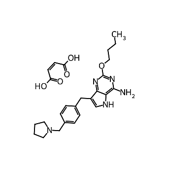 CCCCOc1nc(N)c2[nH]cc(Cc3ccc(CN4CCCC4)cc3)c2n1.O=C(O)/C=C\C(=O)O